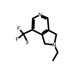 CCN1Cc2cncc(C(F)(F)F)c2C1